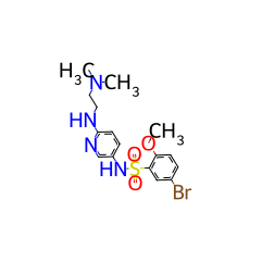 COc1ccc(Br)cc1S(=O)(=O)Nc1ccc(NCCN(C)C)nc1